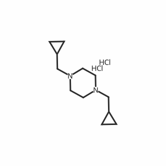 C1CC1CN1CCN(CC2CC2)CC1.Cl.Cl